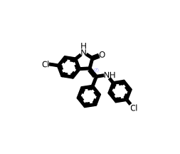 O=C1Nc2cc(Cl)ccc2/C1=C(/Nc1ccc(Cl)cc1)c1ccccc1